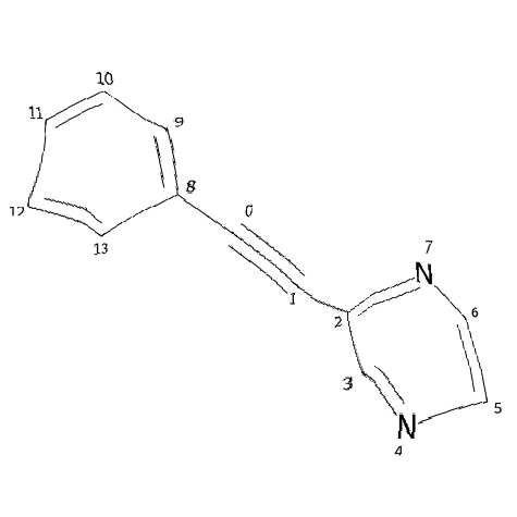 C(#Cc1cnccn1)c1ccccc1